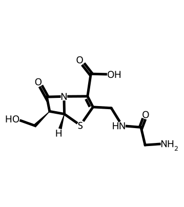 NCC(=O)NCC1=C(C(=O)O)N2C(=O)[C@H](CO)[C@H]2S1